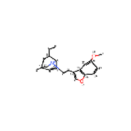 CCC1CC2(C)C=CC1N(CCc1coc3ccc(OC)cc13)C2